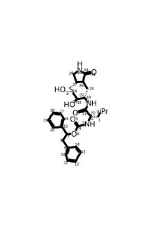 CC(C)C[C@H](NC(=O)OC(Cc1ccccc1)c1ccccc1)C(=O)N[C@@H](CC1CCNC1=O)C(O)S(=O)(=O)O